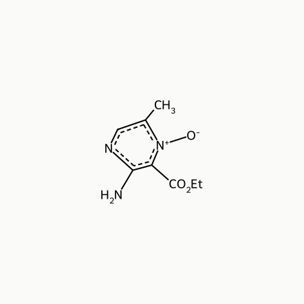 CCOC(=O)c1c(N)ncc(C)[n+]1[O-]